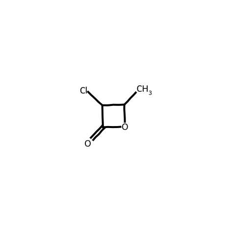 CC1OC(=O)C1Cl